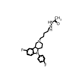 CC(=O)NNCCCCCN1CCC2C(C1)c1cc(F)ccc1N2c1ccc(F)cc1